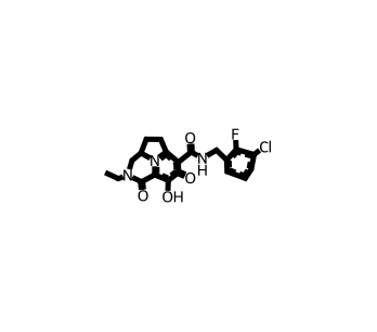 CCN1CC2CCc3c(C(=O)NCc4cccc(Cl)c4F)c(=O)c(O)c(n32)C1=O